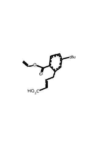 C=COC(=O)c1ccc(C(C)(C)C)cc1C/C=C/C(=O)O